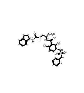 O=C(NC[C@H](NC(=O)c1c(Cl)ccc(NS(=O)(=O)Cc2ccccc2)c1Cl)C(=O)O)N[C@@H]1CCc2ccccc21